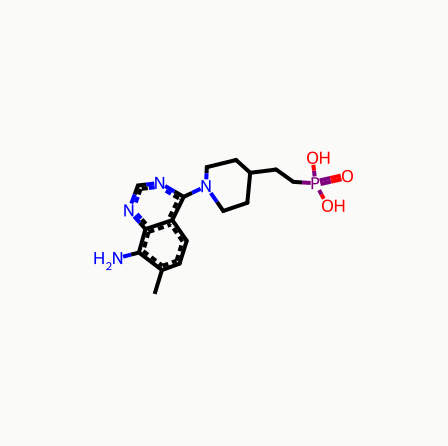 Cc1ccc2c(N3CCC(CCP(=O)(O)O)CC3)ncnc2c1N